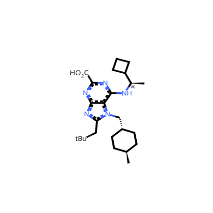 C[C@@H](Nc1nc(C(=O)O)nc2nc(CC(C)(C)C)n(C[C@H]3CC[C@H](C)CC3)c12)C1CCC1